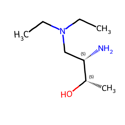 CCN(CC)C[C@H](N)[C@H](C)O